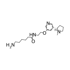 CN1CCC[C@H]1c1cncc(OCCNC(=O)CCCCCN)c1